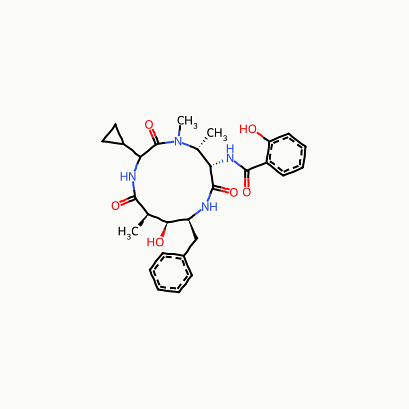 C[C@@H]1[C@H](NC(=O)c2ccccc2O)C(=O)N[C@@H](Cc2ccccc2)[C@@H](O)[C@@H](C)C(=O)NC(C2CC2)C(=O)N1C